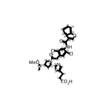 CON(C)[C@H]1C[C@@H](c2ncc(CCC(=O)O)s2)N(C(=O)Cc2cc(Cl)c(NC(=O)c3coc4ccccc34)cc2Cl)C1